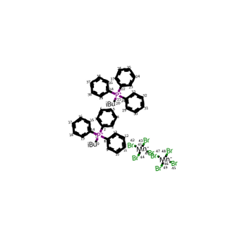 CCC(C)[P+](c1ccccc1)(c1ccccc1)c1ccccc1.CCC(C)[P+](c1ccccc1)(c1ccccc1)c1ccccc1.[Br][Mn-]([Br])([Br])[Br].[Br][Mn-]([Br])([Br])[Br]